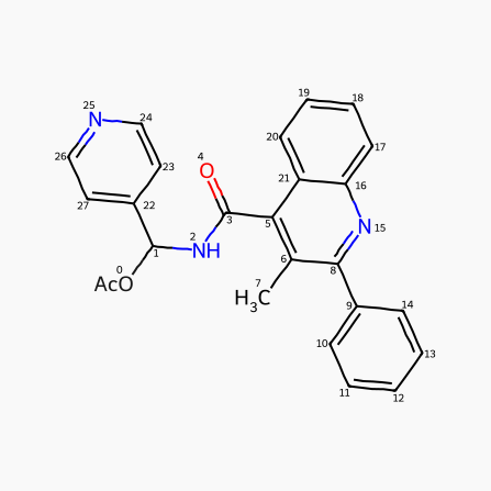 CC(=O)OC(NC(=O)c1c(C)c(-c2ccccc2)nc2ccccc12)c1ccncc1